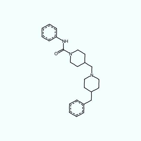 O=C(Nc1ccccc1)N1CCC(CN2CCC(Cc3ccccc3)CC2)CC1